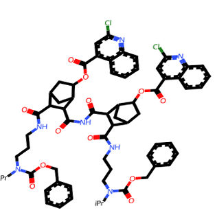 CC(C)N(CCCNC(=O)C1C2CC(OC(=O)c3cc(Cl)nc4ccccc34)C(C2)C1C(=O)NC(=O)C1C2CC(CC2OC(=O)c2cc(Cl)nc3ccccc23)C1C(=O)NCCCN(C(=O)OCc1ccccc1)C(C)C)C(=O)OCc1ccccc1